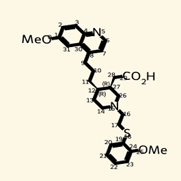 COc1ccc2nccc(CCC[C@@H]3CCN(CCSc4ccccc4OC)C[C@@H]3CC(=O)O)c2c1